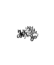 NCCN.NCCN.NCCN.O=[N+]([O-])[O-].O=[N+]([O-])[O-].[Co+2]